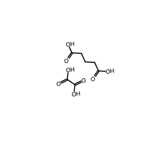 O=C(O)C(=O)O.O=C(O)CCCC(=O)O